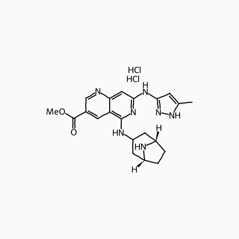 COC(=O)c1cnc2cc(Nc3cc(C)[nH]n3)nc(NC3C[C@H]4CC[C@@H](C3)N4)c2c1.Cl.Cl